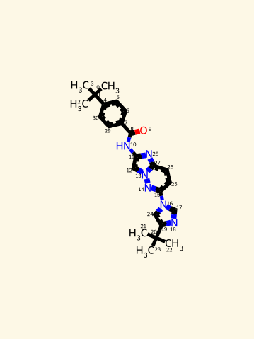 CC(C)(C)c1ccc(C(=O)Nc2cn3nc(-n4cnc(C(C)(C)C)c4)ccc3n2)cc1